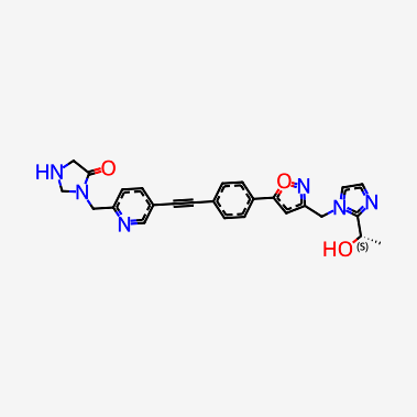 C[C@H](O)c1nccn1Cc1cc(-c2ccc(C#Cc3ccc(CN4CNCC4=O)nc3)cc2)on1